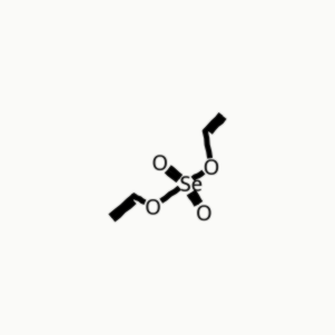 C=CO[Se](=O)(=O)OC=C